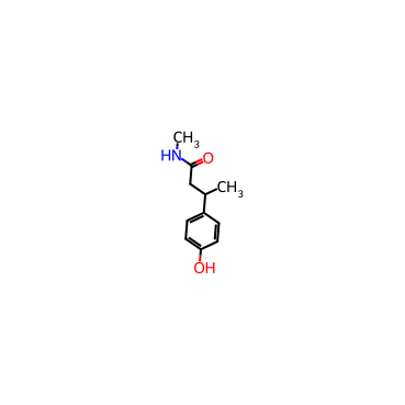 CNC(=O)CC(C)c1ccc(O)cc1